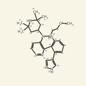 COCCON(c1ccnnc1-c1c(O)cccc1-c1cn[nH]c1)C1CC(C)(C)NC(C)(C)C1